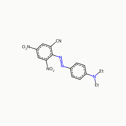 CCN(CC)c1ccc(N=Nc2c(C#N)cc([N+](=O)[O-])cc2[N+](=O)[O-])cc1